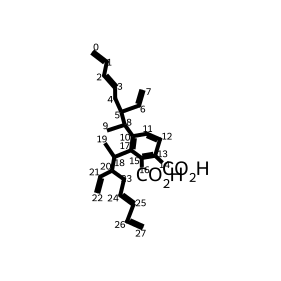 C=CC=CCC(C=C)C(C)c1ccc(C(=O)O)c(C(=O)O)c1C(C)C(C=C)CC=CC=C